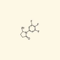 CC(C)C1CCC(=O)N1c1cc(F)c(F)c(F)c1